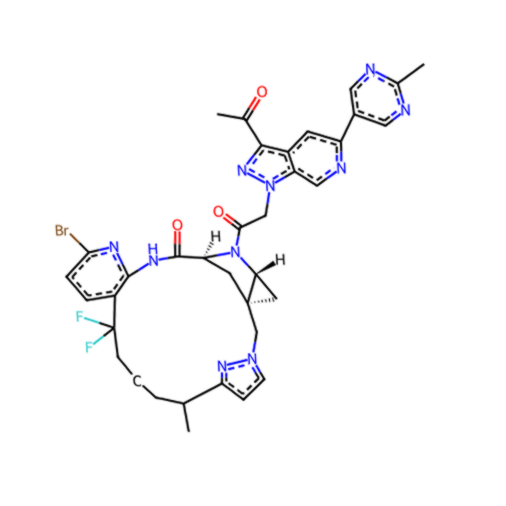 CC(=O)c1nn(CC(=O)N2[C@H]3C[C@]4(C[C@@H]24)Cn2ccc(n2)C(C)CCCC(F)(F)c2ccc(Br)nc2NC3=O)c2cnc(-c3cnc(C)nc3)cc12